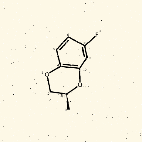 C[C@H]1COc2ccc(F)cc2O1